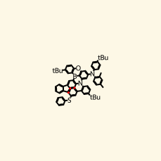 Cc1ccc(N(c2ccc(C(C)(C)C)cc2)c2cc3c4c(c2)N(c2ccc(C(C)(C)C)cc2-c2cccc(Sc5ccccc5)c2)c2cc5c(cc2B4c2cc(C(C)(C)C)ccc2O3)-c2ccccc2C5)c(C)c1